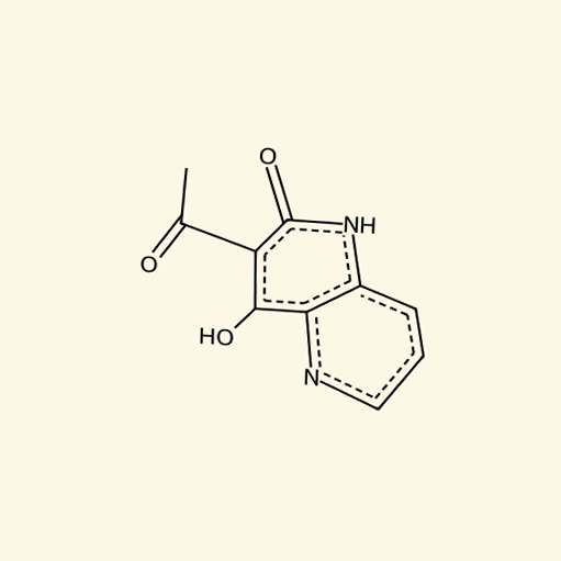 CC(=O)c1c(O)c2ncccc2[nH]c1=O